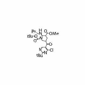 COC(=O)C1CC(C(=O)c2cnc(C(C)(C)C)nc2Cl)CN(C(=O)OC(C)(C)C)C1NCC(C)C